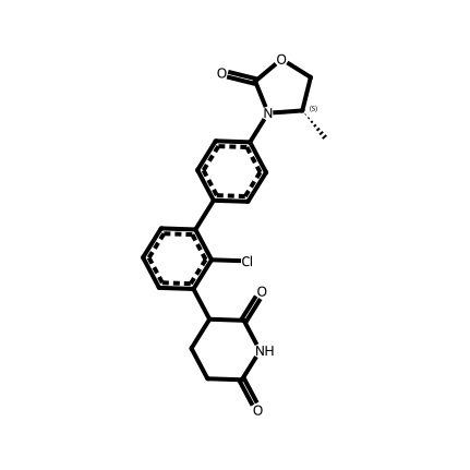 C[C@H]1COC(=O)N1c1ccc(-c2cccc(C3CCC(=O)NC3=O)c2Cl)cc1